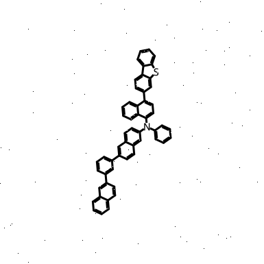 c1ccc(N(c2ccc3cc(-c4cccc(-c5ccc6ccccc6c5)c4)ccc3c2)c2ccc(-c3ccc4c(c3)sc3ccccc34)c3ccccc23)cc1